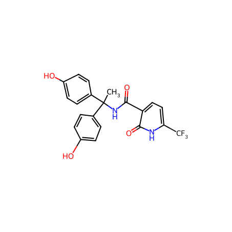 CC(NC(=O)c1ccc(C(F)(F)F)[nH]c1=O)(c1ccc(O)cc1)c1ccc(O)cc1